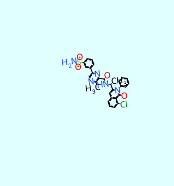 Cc1ncc(-c2cccc(S(N)(=O)=O)c2)nc1C(=O)N[C@@H](C)c1cc2cccc(Cl)c2c(=O)n1-c1ccccc1